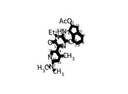 CCn1c(N[C@H]2c3ccccc3C[C@@H]2OC(C)=O)c(C)nc(-c2cnc(N(C)C)cc2C)c1=O